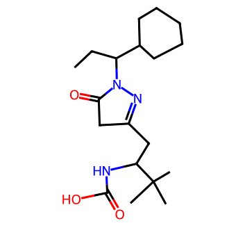 CCC(C1CCCCC1)N1N=C(CC(NC(=O)O)C(C)(C)C)CC1=O